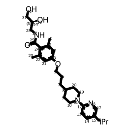 Cc1cc(OCCCC2CCN(c3ccc(C(C)C)cn3)CC2)cc(C)c1C(=O)NC[C@H](O)CO